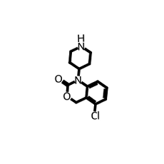 O=C1OCc2c(Cl)cccc2N1C1CCNCC1